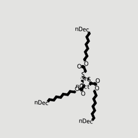 CCCCCCCCCCCCCCCCCCOC(=O)C[S][Sn]([S]CC(=O)OCCCCCCCCCCCCCCCCCC)[S]C(CCCCCCCC)C(=O)OCCCCCCCCCCCCCCCCCC